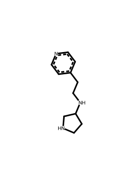 c1cc(CCNC2CCNC2)ccn1